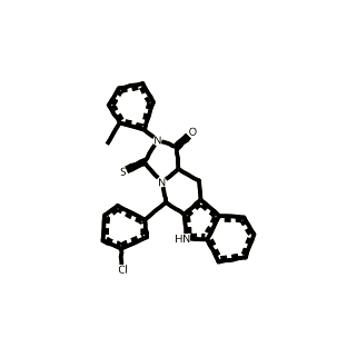 Cc1ccccc1N1C(=O)C2Cc3c([nH]c4ccccc34)C(c3cccc(Cl)c3)N2C1=S